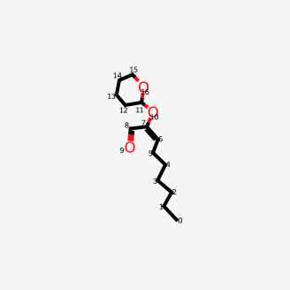 CCCCCCC=C(C=O)OC1CCCCO1